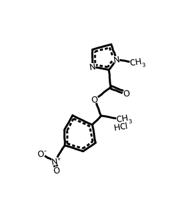 CC(OC(=O)c1nccn1C)c1ccc([N+](=O)[O-])cc1.Cl